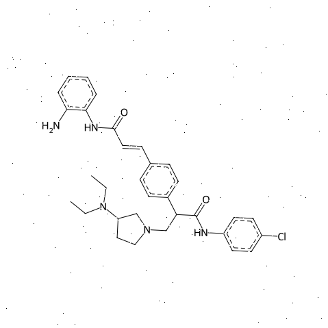 CCN(CC)C1CCN(CC(C(=O)Nc2ccc(Cl)cc2)c2ccc(/C=C/C(=O)Nc3ccccc3N)cc2)C1